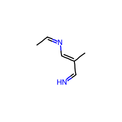 C/C=N\C=C(/C)C=N